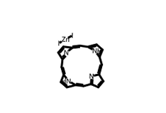 C1=Cc2cc3ccc(cc4nc(cc5ccc(cc1n2)[nH]5)C=C4)[nH]3.[I][Zn][I]